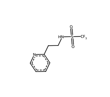 O=S(=O)(NCCc1ccccn1)C(F)(F)F